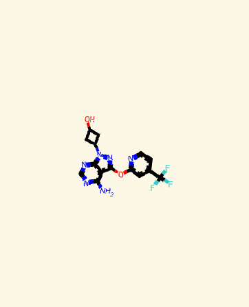 Nc1ncnc2c1c(Oc1cc(C(F)(F)F)ccn1)nn2C1CC(O)C1